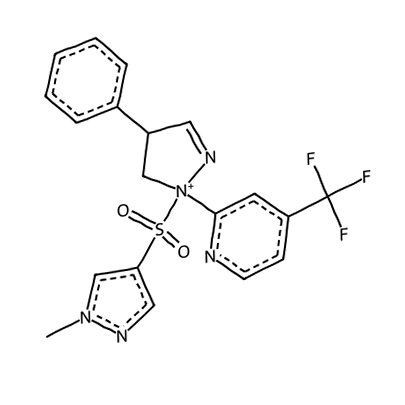 Cn1cc(S(=O)(=O)[N+]2(c3cc(C(F)(F)F)ccn3)CC(c3ccccc3)C=N2)cn1